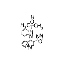 CC(C)(O)C[C@H]1C=CCC=C1Nc1c(-c2nnco2)cnn2cccc12